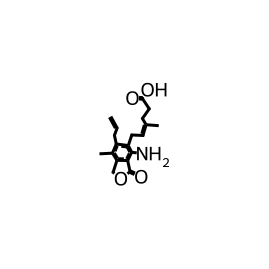 C=CCc1c(C)c2c(c(N)c1CC=C(C)CCC(=O)O)C(=O)OC2